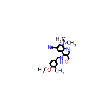 COc1ccc(CNc2c(C=O)cnc3c(N(C)C)cc(C#N)cc23)cc1C